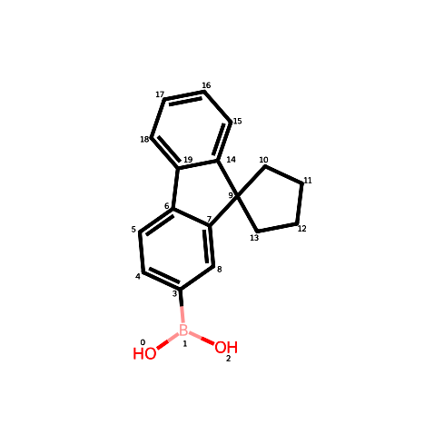 OB(O)c1ccc2c(c1)C1(CCCC1)c1ccccc1-2